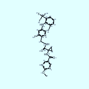 COc1ncc(C(=O)NC2(C(=O)NCc3ncc(Nc4c(F)cccc4C(F)(F)F)cc3F)CC2)cn1